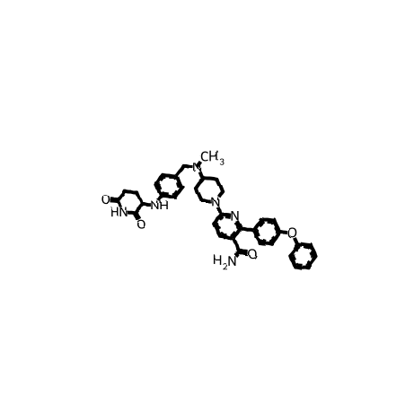 CN(Cc1ccc(NC2CCC(=O)NC2=O)cc1)C1CCN(c2ccc(C(N)=O)c(-c3ccc(Oc4ccccc4)cc3)n2)CC1